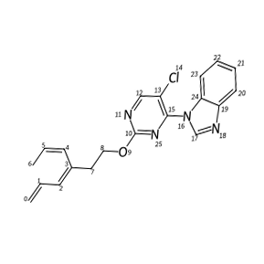 C=C/C=C(\C=C/C)CCOc1ncc(Cl)c(-n2cnc3ccccc32)n1